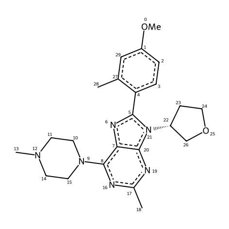 COc1ccc(-c2nc3c(N4CCN(C)CC4)nc(C)nc3n2[C@@H]2CCOC2)c(C)c1